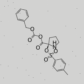 Cc1ccc(S(=O)(=O)O[C@@]2(C(=O)OC(=O)OCc3ccccc3)CCCN2)cc1